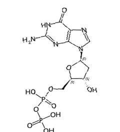 Nc1nc2c(ncn2[C@H]2C[C@H](O)[C@@H](COP(=O)(O)OP(=O)(O)O)O2)c(=O)[nH]1